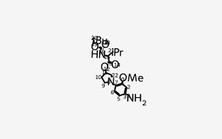 COc1cc(N)ccc1N1CC[C@@H](OC(=O)C(NC(=O)OC(C)(C)C)C(C)C)C1